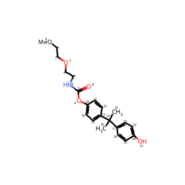 COCCOCCNC(=O)Oc1ccc(C(C)(C)c2ccc(O)cc2)cc1